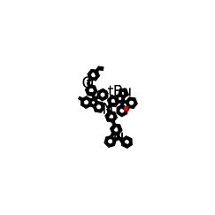 C=CC1=CCC(OC2CC=C(C3(C4CCC(C(C)(C)C)CC4)C4CC(C)CCC4C4CCC(N(C5=CC=C(C6=CC7C8CCCCC8N(C8C=CCCC8)C7C=C6)CC5)C5=CC6=C(CC5)C5CCCC5C6(C5=CCCCC5)C5CCCCC5C)CC43)CC2)CC1